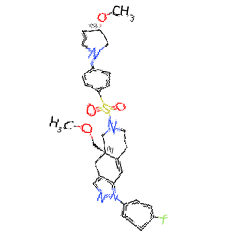 COC[C@]12Cc3cnn(-c4ccc(F)cc4)c3C=C1CCN(S(=O)(=O)c1ccc(N3CC[C@H](OC)C3)cc1)C2